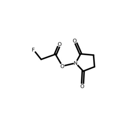 O=C(CF)ON1C(=O)CCC1=O